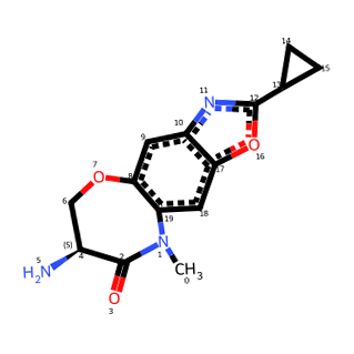 CN1C(=O)[C@@H](N)COc2cc3nc(C4CC4)oc3cc21